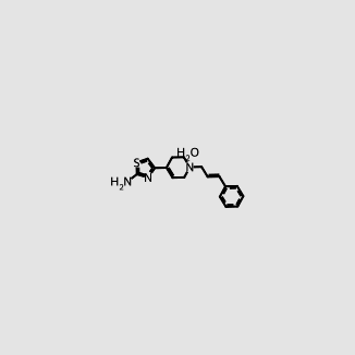 Nc1nc(C2=CCN(CC=Cc3ccccc3)CC2)cs1.O